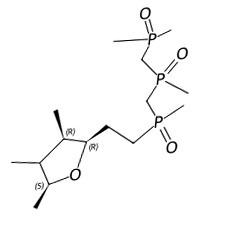 CC1[C@H](C)O[C@H](CCP(C)(=O)CP(C)(=O)CP(C)(C)=O)[C@@H]1C